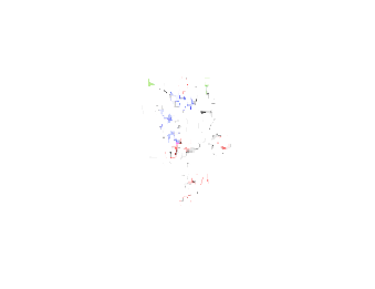 C/C(=C\c1cc(F)cc(N2CCN(C#CF)C2=O)c1)[C@@H](C=O)[C@@H](C)/C=C/[C@H](OC(=O)N1CCN(C)CC1)[C@@H](C)CC[C@@H](O)CC=O